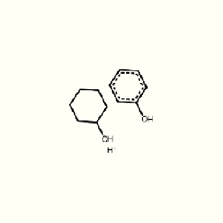 OC1CCCCC1.Oc1ccccc1.[H+]